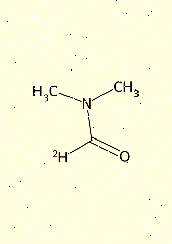 [2H]C(=O)N(C)C